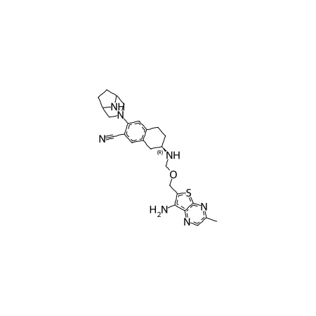 Cc1cnc2c(N)c(COCN[C@@H]3CCc4cc(N5CC6CCC(C5)N6)c(C#N)cc4C3)sc2n1